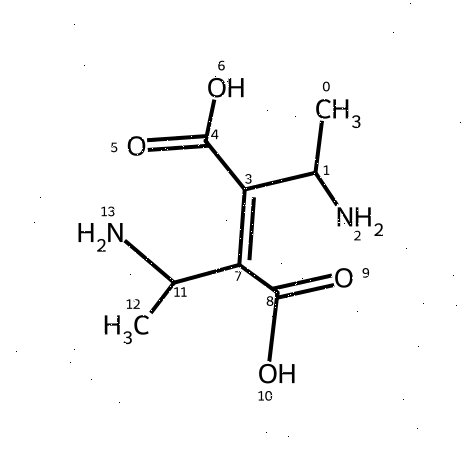 CC(N)/C(C(=O)O)=C(\C(=O)O)C(C)N